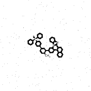 CC1C=CC(c2ccc(P(=S)(c3ccccc3)c3ccccc3)cc2)=CC1c1ccc2c3c4ccccc4ccc3c3nc4ccccc4n3c2c1